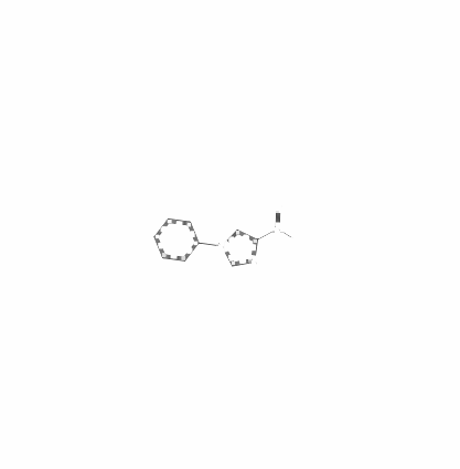 O=[N+]([O-])c1cn(-c2c[c]ccc2)cn1